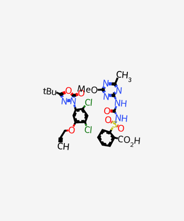 C#CCOc1cc(-n2nc(C(C)(C)C)oc2=O)c(Cl)cc1Cl.COc1nc(C)nc(NC(=O)NS(=O)(=O)c2ccccc2C(=O)O)n1